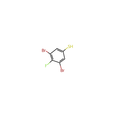 Fc1c(Br)cc(S)cc1Br